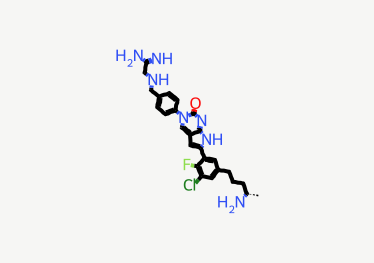 C[C@H](N)CCCc1cc(Cl)c(F)c(-c2cc3cn(-c4ccc(CNCC(=N)N)cc4)c(=O)nc3[nH]2)c1